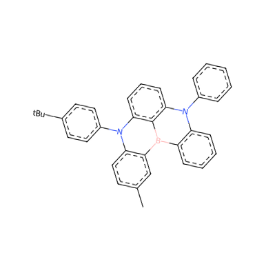 Cc1ccc2c(c1)B1c3ccccc3N(c3ccccc3)c3cccc(c31)N2c1ccc(C(C)(C)C)cc1